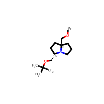 CC(C)OC[C@@]12CCCN1[C@H](COC(C)(C(F)(F)F)C(F)(F)F)CC2